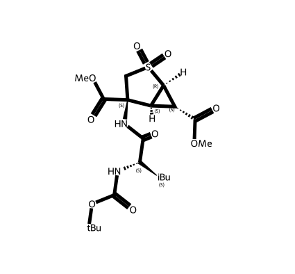 CC[C@H](C)[C@H](NC(=O)OC(C)(C)C)C(=O)N[C@@]1(C(=O)OC)CS(=O)(=O)[C@H]2[C@H](C(=O)OC)[C@H]21